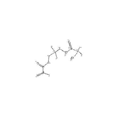 C=C(C)C(=O)OCC(C)(C)COC(=O)C(C)(C)CC